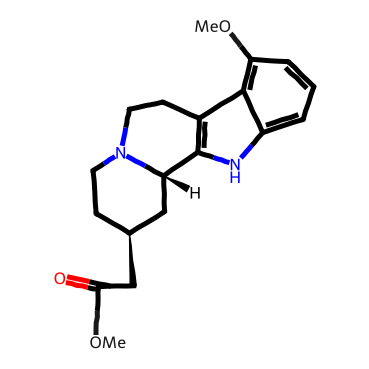 COC(=O)C[C@H]1CCN2CCc3c([nH]c4cccc(OC)c34)[C@@H]2C1